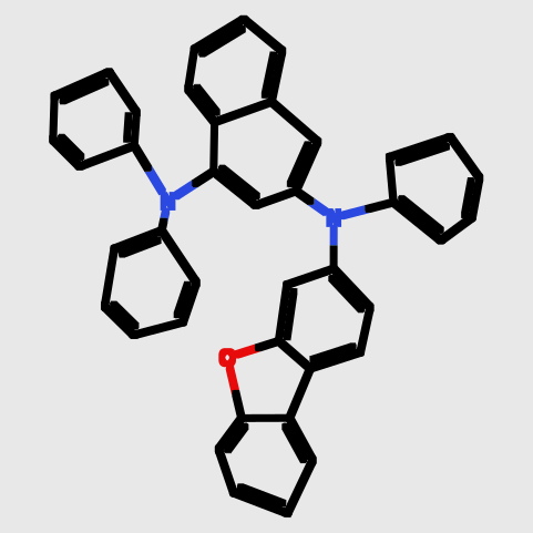 c1ccc(N(c2cc(N(c3ccccc3)c3ccccc3)c3ccccc3c2)c2ccc3c(c2)oc2ccccc23)cc1